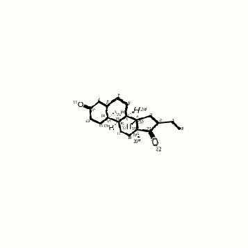 CCC1C[C@H]2[C@@H]3CCC4CC(=O)CC[C@]4(C)[C@@H]3CC[C@]2(C)C1=O